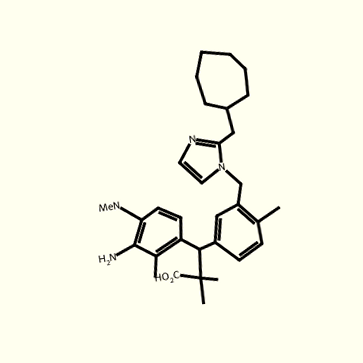 CNc1ccc(C(c2ccc(C)c(Cn3ccnc3CC3CCCCCC3)c2)C(C)(C)C(=O)O)c(C)c1N